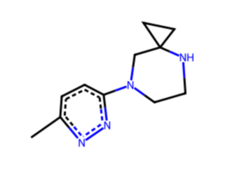 Cc1ccc(N2CCNC3(CC3)C2)nn1